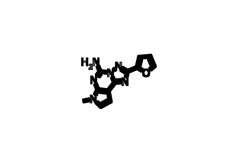 Cn1ccc2c1nc(N)n1nc(-c3ccco3)nc21